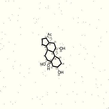 CC(=O)[C@H]1CCC2C3C[C@@H](O)[C@@]4(O)C[C@@H](O)CC[C@]4(C)C3[C@@H](O)C[C@@]21C